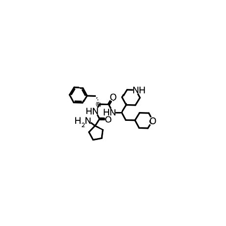 NC1(C(=O)N[C@H](Cc2ccccc2)C(=O)NC(CC2CCOCC2)C2CCNCC2)CCCC1